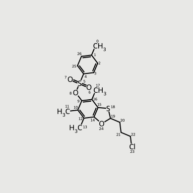 Cc1ccc(S(=O)(=O)Oc2c(C)c(C)c3c(c2C)SC(CCCCl)O3)cc1